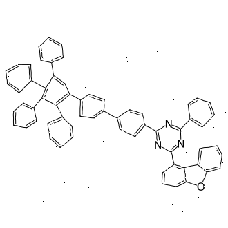 c1ccc(-c2nc(-c3ccc(-c4ccc(-c5cc(-c6ccccc6)c(-c6ccccc6)c(-c6ccccc6)c5-c5ccccc5)cc4)cc3)nc(-c3cccc4oc5ccccc5c34)n2)cc1